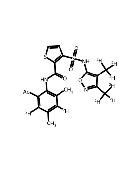 [2H]c1c(C)c([2H])c(C(C)=O)c(NC(=O)c2sccc2S(=O)(=O)Nc2onc(C([2H])([2H])[2H])c2C([2H])([2H])[2H])c1C